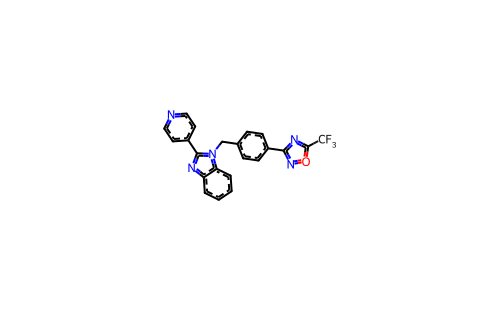 FC(F)(F)c1nc(-c2ccc(Cn3c(-c4ccncc4)nc4ccccc43)cc2)no1